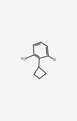 Nc1cccc(Cl)c1C1CCC1